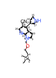 C[Si](C)(C)CCOCn1ccc2c(-c3cc[nH]c3)c(C#N)cnc21